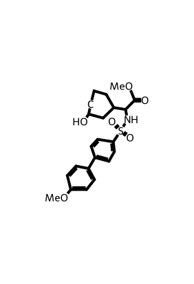 COC(=O)C(NS(=O)(=O)c1ccc(-c2ccc(OC)cc2)cc1)C1CCCC(O)C1